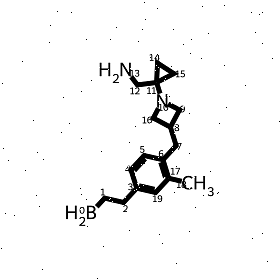 BCCc1ccc(CC2CN(C3(CN)CC3)C2)c(C)c1